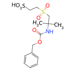 CC(C)(CS(=O)(=O)CCS(=O)(=O)O)NC(=O)OCc1ccccc1